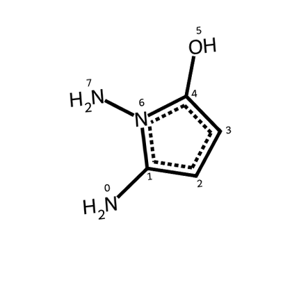 Nc1ccc(O)n1N